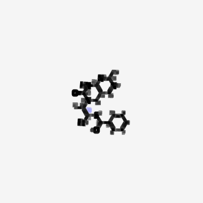 CC/C(SC(=O)c1ccccc1)=C(\C)N1Cc2cnc(C)nc2NC1=O